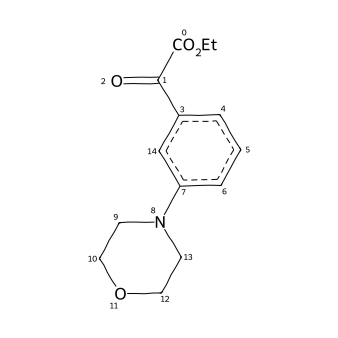 CCOC(=O)C(=O)c1cccc(N2CCOCC2)c1